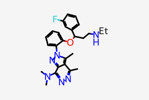 CCNCCC(Oc1ccccc1-n1nc2c(N(C)C)nnc(C)c2c1C)c1cccc(F)c1